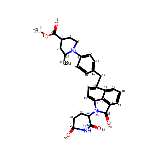 CC(C)(C)OC(=O)C1CCN(c2ccc(Cc3ccc4c5c(cccc35)C(=O)N4C3CCC(=O)NC3=O)cc2)C(C(C)(C)C)C1